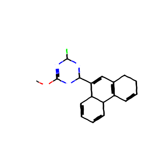 CC(C)OC1=NC(Cl)NC(C2=CC3=C(C=CCC3)C3C=CC=CC23)N1